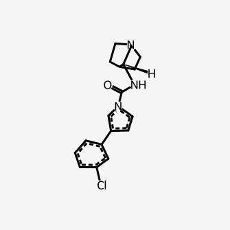 O=C(N[C@H]1CN2CCC1CC2)n1ccc(-c2cccc(Cl)c2)c1